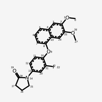 COc1cc2cccc(Oc3ccc(N4CCCC4=O)cc3F)c2cc1OC